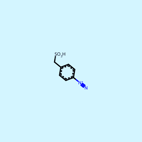 N#[N+]c1ccc(CS(=O)(=O)O)cc1